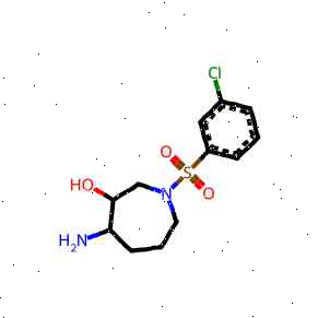 NC1CCCN(S(=O)(=O)c2cccc(Cl)c2)CC1O